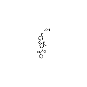 O=C(Nc1ccccc1)C1=CC(F)(Cl)C(Cl)(Oc2ccc(CCCO)cc2)C=C1